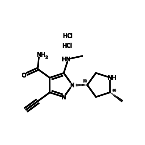 C#Cc1nn([C@@H]2CN[C@H](C)C2)c(NC)c1C(N)=O.Cl.Cl